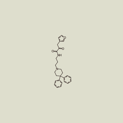 O=C(Cc1ccoc1)C(=O)NCCCN1CCC(c2ccccc2)(c2ccccc2)CC1